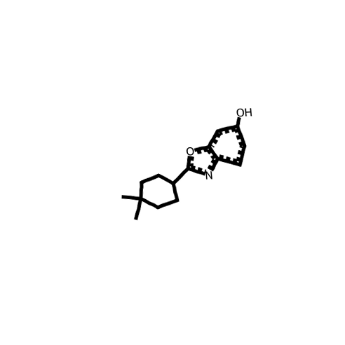 CC1(C)CCC(c2nc3ccc(O)cc3o2)CC1